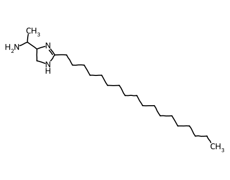 CCCCCCCCCCCCCCCCCCC1=NC(C(C)N)CN1